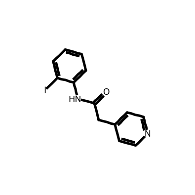 O=C(Cc1ccncc1)Nc1ccccc1I